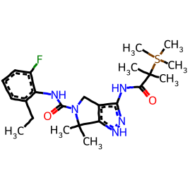 CCc1cccc(F)c1NC(=O)N1Cc2c(NC(=O)C(C)(C)S(C)(C)C)n[nH]c2C1(C)C